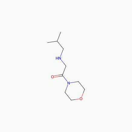 CC(C)CNCC(=O)N1CCOCC1